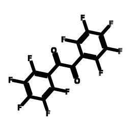 O=C(C(=O)c1c(F)c(F)c(F)c(F)c1F)c1c(F)c(F)c(F)c(F)c1F